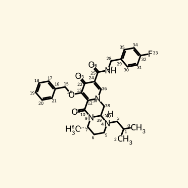 CC(C)CN1CC[C@H](C)N2C(=O)c3c(OCc4ccccc4)c(=O)c(C(=O)NCc4ccc(F)cc4)cn3C[C@@H]12